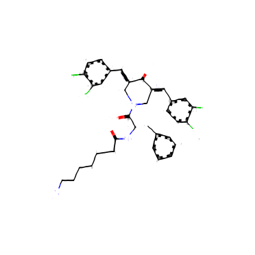 NCCCCCCC(=O)N[C@@H](Cc1ccccc1)C(=O)N1C/C(=C\c2ccc(Cl)c(Cl)c2)C(=O)/C(=C/c2ccc(Cl)c(Cl)c2)C1